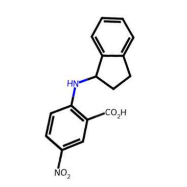 O=C(O)c1cc([N+](=O)[O-])ccc1NC1CCc2ccccc21